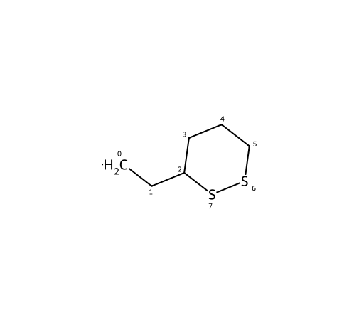 [CH2]CC1CCCSS1